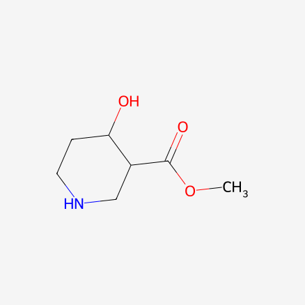 COC(=O)C1CNCCC1O